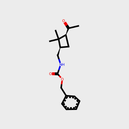 CC(=O)[C@H]1C[C@@H](CNC(=O)OCc2ccccc2)C1(C)C